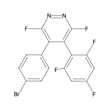 Fc1cc(F)c(-c2c(F)nnc(F)c2-c2ccc(Br)cc2)c(F)c1